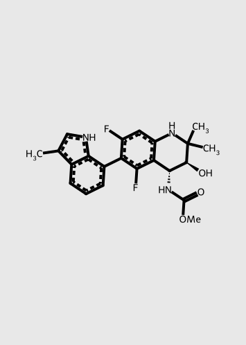 COC(=O)N[C@@H]1c2c(cc(F)c(-c3cccc4c(C)c[nH]c34)c2F)NC(C)(C)[C@H]1O